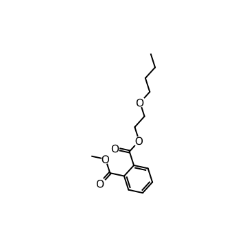 CCCCOCCOC(=O)c1ccccc1C(=O)OC